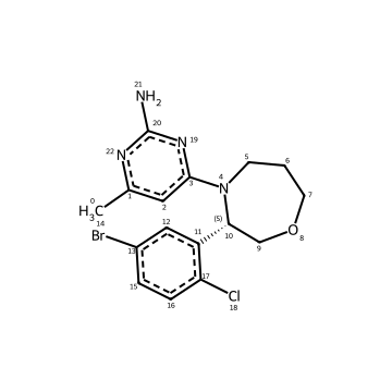 Cc1cc(N2CCCOC[C@@H]2c2cc(Br)ccc2Cl)nc(N)n1